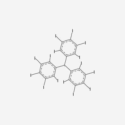 Ic1c(I)c(I)c([C](c2c(I)c(I)c(I)c(I)c2I)c2c(I)c(I)c(I)c(I)c2I)c(I)c1I